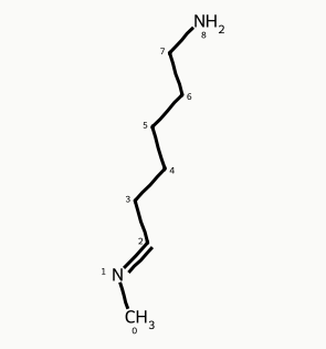 CN=CCCCCCN